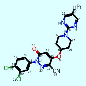 CCCc1cnc(N2CCC(Oc3cc(=O)n(-c4ccc(Cl)c(Cl)c4)nc3C#N)CC2)nc1